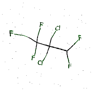 FC(F)C(Cl)(Cl)C(F)(F)F